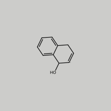 OC1[C]=CCc2ccccc21